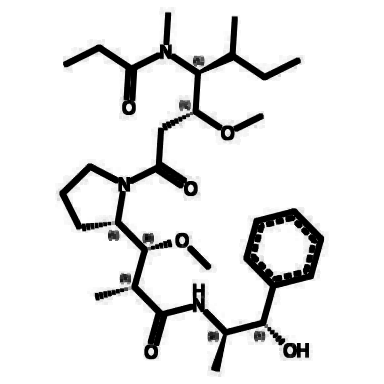 CCC(=O)N(C)[C@@H](C(C)CC)[C@@H](CC(=O)N1CCC[C@H]1[C@H](OC)[C@@H](C)C(=O)N[C@H](C)[C@@H](O)c1ccccc1)OC